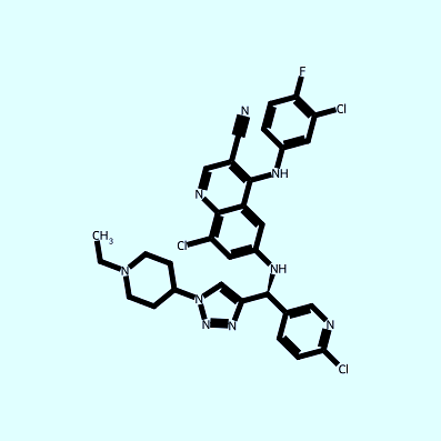 CCN1CCC(n2cc([C@@H](Nc3cc(Cl)c4ncc(C#N)c(Nc5ccc(F)c(Cl)c5)c4c3)c3ccc(Cl)nc3)nn2)CC1